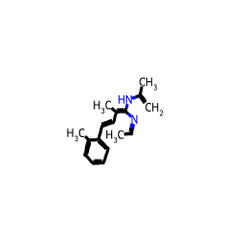 C=C(C)NC(/N=C\C)=C(C)/C=C/c1ccccc1C